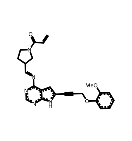 C=CC(=O)N1CCC(/C=N/c2ncnc3[nH]c(C#CCOc4ccccc4OC)cc23)C1